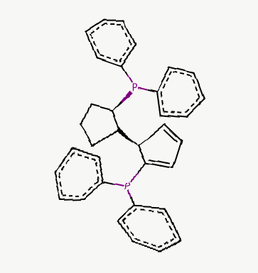 C1=C[C@H](C2CCC[C@H]2P(c2ccccc2)c2ccccc2)C(P(c2ccccc2)c2ccccc2)=C1